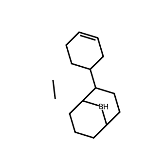 B1C2CCCC1C(C1CC=CCC1)CC2.CC